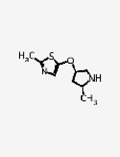 Cc1ncc(O[C@H]2CN[C@@H](C)C2)s1